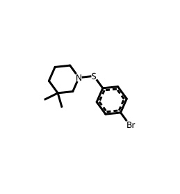 CC1(C)CCCN(Sc2ccc(Br)cc2)C1